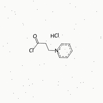 Cl.O=C(Cl)CC[n+]1ccccc1